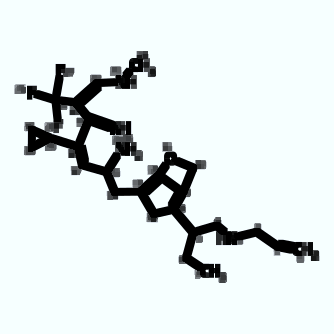 C=CCNCC(CC)C1=C2COC2=C(CC(N)/C=C(\C(=N)/C(=C\NC)C(F)(F)F)C2CC2)C1